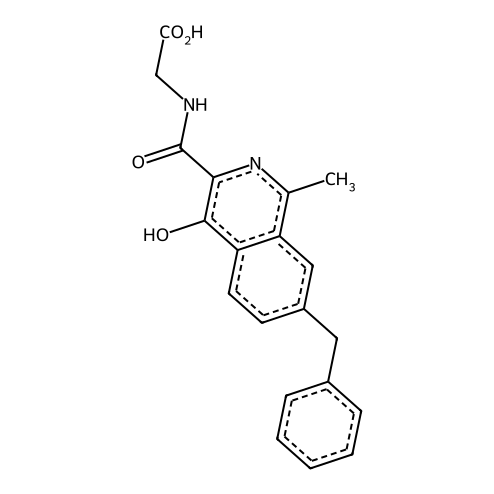 Cc1nc(C(=O)NCC(=O)O)c(O)c2ccc(Cc3ccccc3)cc12